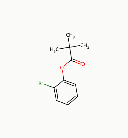 CC(C)(C)C(=O)Oc1ccccc1Br